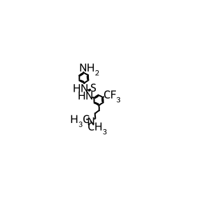 CN(C)CCCc1cc(NC(=S)Nc2ccc(N)cc2)cc(C(F)(F)F)c1